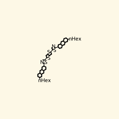 CCCCCCc1ccc2cc3cc(-c4ncc(-c5cc6sc(-c7cnc(-c8ccc9cc%10cc(CCCCCC)ccc%10cc9c8)s7)cc6s5)s4)ccc3cc2c1